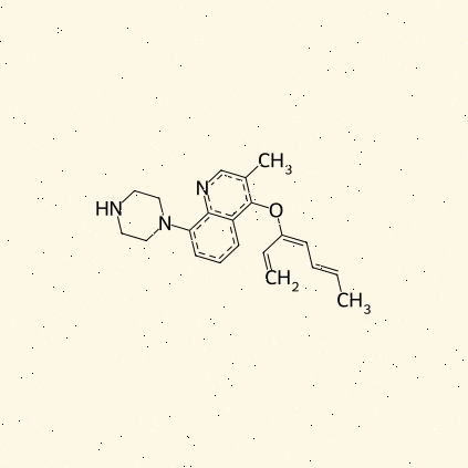 C=C/C(=C\C=C\C)Oc1c(C)cnc2c(N3CCNCC3)cccc12